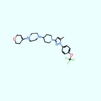 Cc1cc(N2CCC(N3CCN(C4CCOCC4)CC3)CC2)nn1-c1ccc(OC(F)(F)F)cc1